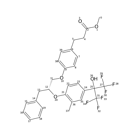 COC(=O)CCc1ccc(OC[C@@H](Cc2ccccc2)Oc2ccc(C(O)(C(F)(F)F)C(F)(F)F)cc2C)cc1